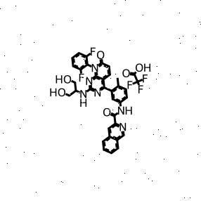 Cc1ccc(NC(=O)c2cc3ccccc3cn2)cc1-c1nc(NC(CO)CO)nc2c1ccc(=O)n2-c1c(F)cccc1F.O=C(O)C(F)(F)F